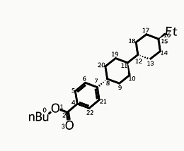 CCCCOC(=O)c1ccc([C@H]2CC[C@H]([C@H]3CC[C@H](CC)CC3)CC2)cc1